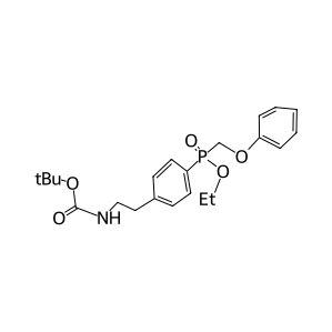 CCOP(=O)(COc1ccccc1)c1ccc(CCNC(=O)OC(C)(C)C)cc1